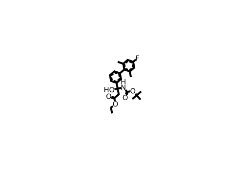 CCOC(=O)CC(O)(NC(=O)OC(C)(C)C)c1cccc(-c2c(C)cc(F)cc2C)c1